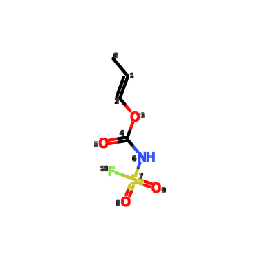 C/C=C/OC(=O)NS(=O)(=O)F